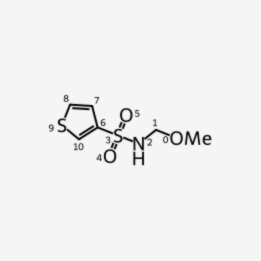 COCNS(=O)(=O)c1ccsc1